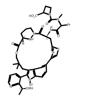 CCn1c(-c2cccnc2[C@H](C)OC)c2c3cc(ccc31)-c1csc(n1)C[C@H](NC(=O)C(C(C)C)N(C)C(=O)N1CCC1C(=O)O)C(=O)N1CCC[C@H](N1)C(=O)OCC(C)(C)C2